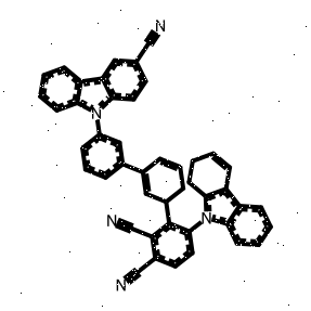 N#Cc1ccc2c(c1)c1ccccc1n2-c1cccc(C2=CC(c3c(-n4c5c(c6ccccc64)C=CCC5)ccc(C#N)c3C#N)CC=C2)c1